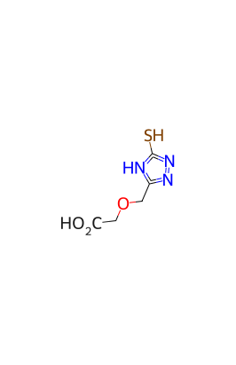 O=C(O)COCc1nnc(S)[nH]1